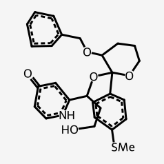 CSc1ccc(C2(OC(CCO)c3cc(=O)cc[nH]3)OCCCC2OCc2ccccc2)cc1